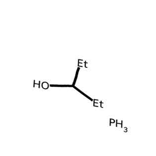 CCC(O)CC.P